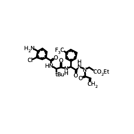 C=CC(=O)N(CC(=O)OCC)NC(=O)C(NC(=O)C(NC(=O)c1ccc(N)c(Cl)c1)C(C)(C)C)c1cccc(C(F)(F)F)c1